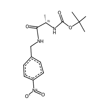 C[C@H](NC(=O)OC(C)(C)C)C(=O)NCc1ccc([N+](=O)[O-])cc1